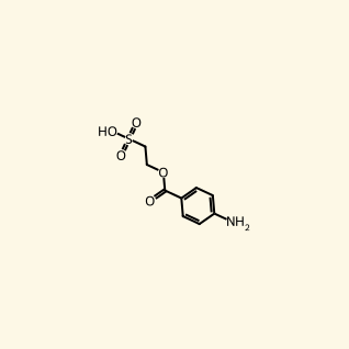 Nc1ccc(C(=O)OCCS(=O)(=O)O)cc1